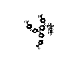 CC(=O)c1ccc(Sc2ccc([S+](c3ccc(Sc4ccc(C(C)=O)cc4)cc3)c3ccc(Sc4ccc(C(C)=O)cc4)cc3)cc2)cc1.O=S(=O)([O-])C(F)(F)C(F)(F)C(F)(F)C(F)(F)F